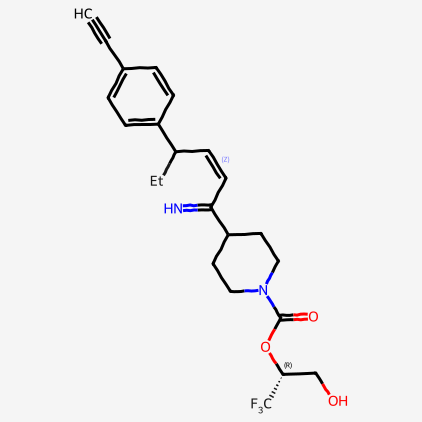 C#Cc1ccc(C(/C=C\C(=N)C2CCN(C(=O)O[C@H](CO)C(F)(F)F)CC2)CC)cc1